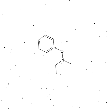 CCN(C)Oc1ccccc1